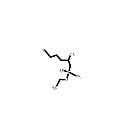 CCO[Si](C)(C)CC(C)CCCCl